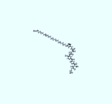 CCCOCCC(=O)NC(C(=O)NCC(=O)Nc1ccc(CC)c(NC(=O)CNC(=O)OCc2cn(CCOCCOCCOCCOCCOCCOCCOCCOC)nn2)c1)C(C)C